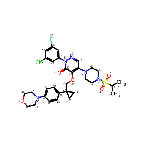 CC(C)S(=O)(=O)N1CCN(c2cnn(-c3cc(F)cc(Cl)c3)c(=O)c2OCC2(c3ccc(N4CCOCC4)cc3)CC2)CC1